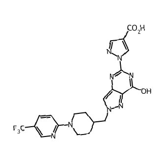 O=C(O)c1cnn(-c2nc(O)c3nn(CC4CCN(c5ccc(C(F)(F)F)cn5)CC4)cc3n2)c1